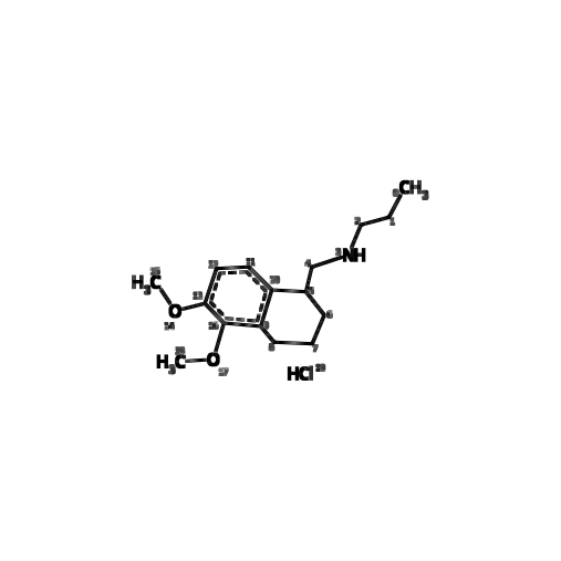 CCCNCC1CCCc2c1ccc(OC)c2OC.Cl